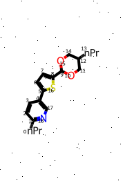 CCCc1ccc(-c2ccc(C3OCC(CCC)CO3)s2)cn1